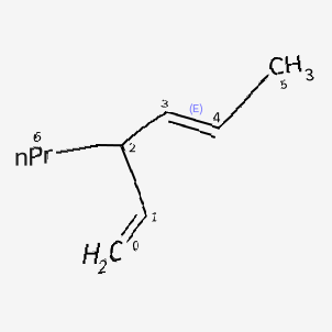 C=CC(/C=C/C)CCC